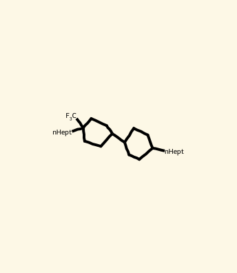 CCCCCCCC1CCC(C2CCC(CCCCCCC)(C(F)(F)F)CC2)CC1